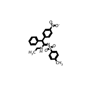 CCNC(=NS(=O)(=O)c1ccc(C)cc1)C(c1ccccc1)c1ccc([N+](=O)[O-])cc1